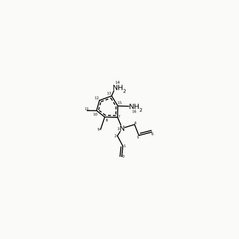 C=CCN(CC=C)c1c(C)c(C)cc(N)c1N